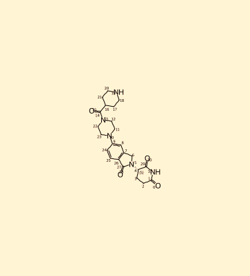 O=C1CC[C@H](N2Cc3cc(N4CCN(C(=O)C5CCNCC5)CC4)ccc3C2=O)C(=O)N1